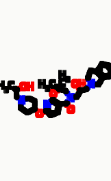 CC(O)CN1CCC(Oc2ccc3c(n2)OC(C)(C)CN(CC(O)CN2CCc4ccccc4C2)C3=O)CC1